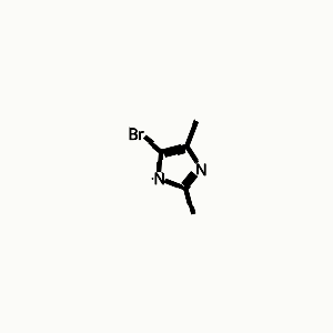 CC1=NC(C)=C(Br)[N]1